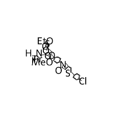 CCS(=O)(=O)C[C@H](COc1ccc(N2Cc3cc(-c4ccc(Cl)cc4)sc3C2=O)cc1OC)OC(=O)[C@@H](N)C(C)C